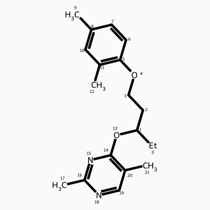 CCC(CCOc1ccc(C)cc1C)Oc1nc(C)ncc1C